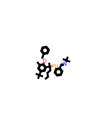 CCCCC(C)(Pc1ccccc1/C=N/C(C)(C)C)c1cc(C(C)(C)C)cc(C)c1OCc1ccccc1